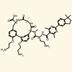 Cc1nc(-c2ccc3c(c2)CCC3(C)C)nc(C)c1C(=O)N[C@@H](CCN)C(=O)N(C)[C@@H]1C(=O)N[C@@H](C)C(=O)N[C@H](C(=O)O)Cc2ccc(OCCN)c(c2)-c2cc1ccc2OCCN